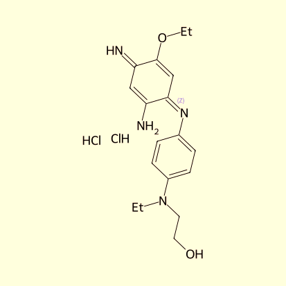 CCOC1=C/C(=N/c2ccc(N(CC)CCO)cc2)C(N)=CC1=N.Cl.Cl